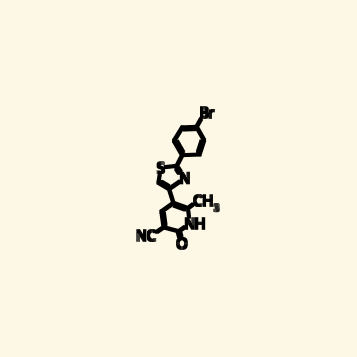 Cc1[nH]c(=O)c(C#N)cc1-c1csc(-c2ccc(Br)cc2)n1